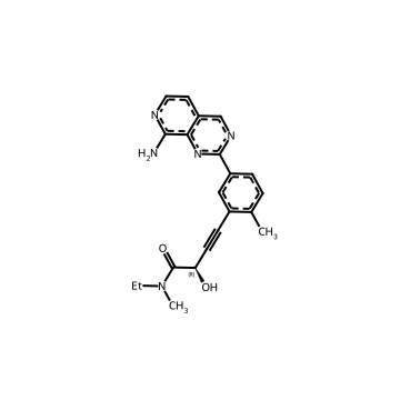 CCN(C)C(=O)[C@H](O)C#Cc1cc(-c2ncc3ccnc(N)c3n2)ccc1C